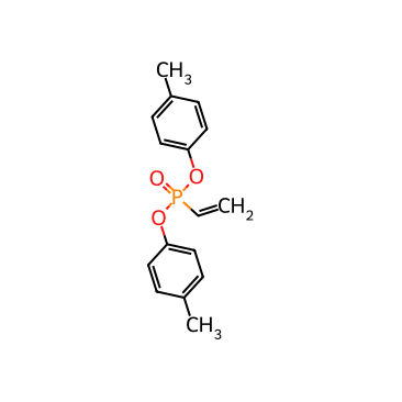 C=CP(=O)(Oc1ccc(C)cc1)Oc1ccc(C)cc1